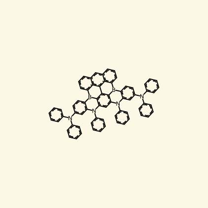 c1ccc(N(c2ccccc2)c2ccc3c(c2)N(c2ccccc2)c2cc4c5c6c2B3c2cccc3cc7cccc(c7c-6c23)B5c2ccc(N(c3ccccc3)c3ccccc3)cc2N4c2ccccc2)cc1